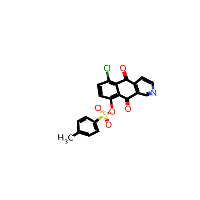 Cc1ccc(S(=O)(=O)Oc2ccc(Cl)c3c2C(=O)c2cnccc2C3=O)cc1